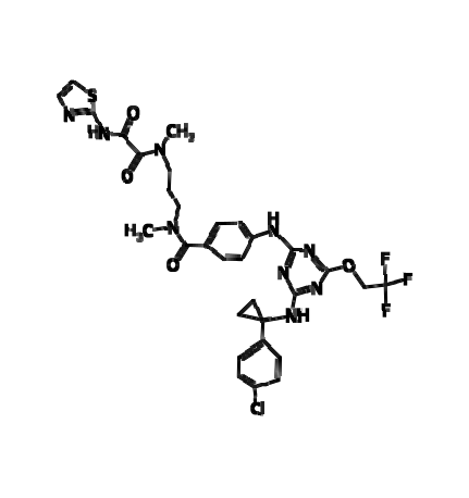 CN(CCCN(C)C(=O)c1ccc(Nc2nc(NC3(c4ccc(Cl)cc4)CC3)nc(OCC(F)(F)F)n2)cc1)C(=O)C(=O)Nc1nccs1